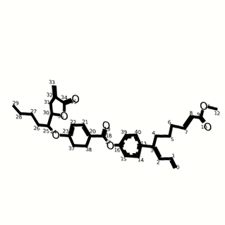 C=C/C=C(\CCC/C=C/C(=O)OC)c1ccc(OC(=O)C2=CC=C(OC(CCCC)C3CC(=C)C(=O)O3)CC2)cc1